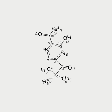 CC(C)(C)C(=O)c1cnc(C(N)=O)c(O)n1